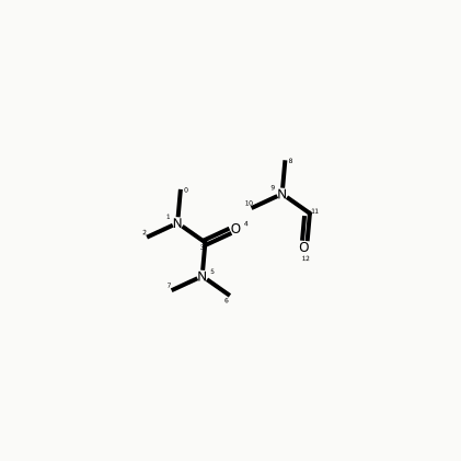 CN(C)C(=O)N(C)C.CN(C)C=O